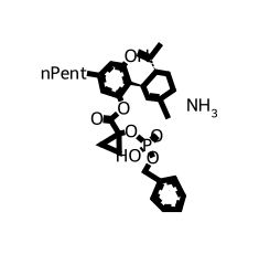 C=C(C)[C@@H]1CCC(C)=C[C@H]1c1c(O)cc(CCCCC)cc1OC(=O)C1(OP(=O)(O)OCc2ccccc2)CC1.N